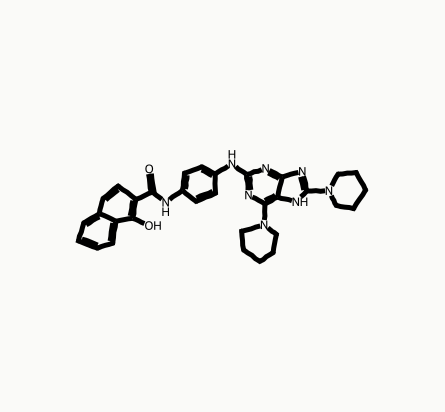 O=C(Nc1ccc(Nc2nc(N3CCCCC3)c3[nH]c(N4CCCCC4)nc3n2)cc1)c1ccc2ccccc2c1O